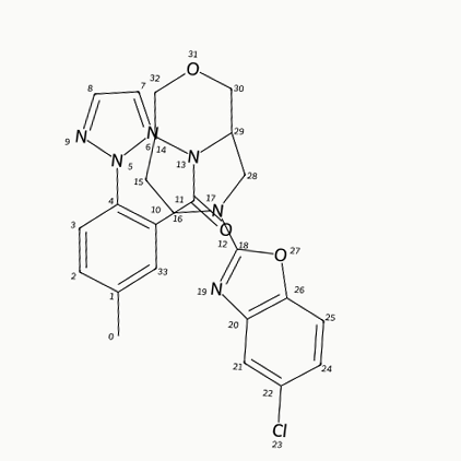 Cc1ccc(-n2nccn2)c(C(=O)N2C3CCN(c4nc5cc(Cl)ccc5o4)CC2COC3)c1